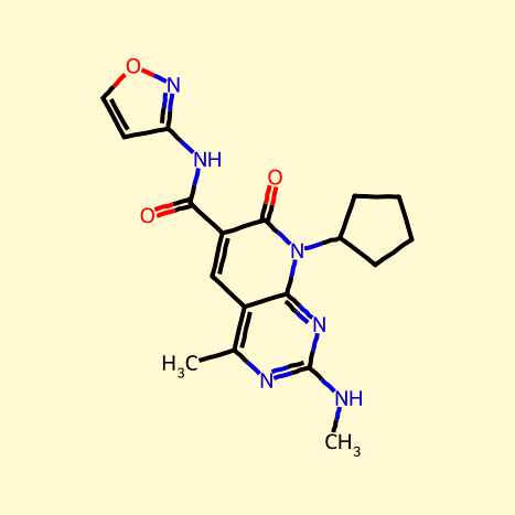 CNc1nc(C)c2cc(C(=O)Nc3ccon3)c(=O)n(C3CCCC3)c2n1